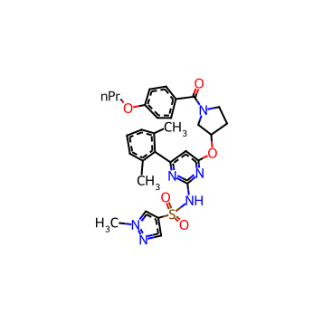 CCCOc1ccc(C(=O)N2CCC(Oc3cc(-c4c(C)cccc4C)nc(NS(=O)(=O)c4cnn(C)c4)n3)C2)cc1